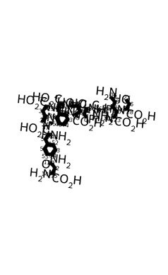 CC(C)C[C@H](N)C(=O)O.CC(C)[C@H](N)C(=O)O.NC(=O)C[C@H](N)C(=O)O.NCCCC[C@H](N)C(=O)O.N[C@@H](CO)C(=O)O.N[C@@H](Cc1c[nH]cn1)C(=O)O.N[C@@H](Cc1ccccc1)C(=O)O.N[C@@H](Cc1ccccc1)C(=O)O.O=C(O)[C@@H]1CCCN1